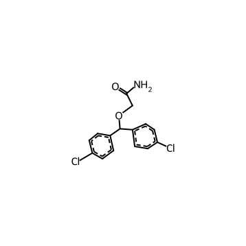 NC(=O)COC(c1ccc(Cl)cc1)c1ccc(Cl)cc1